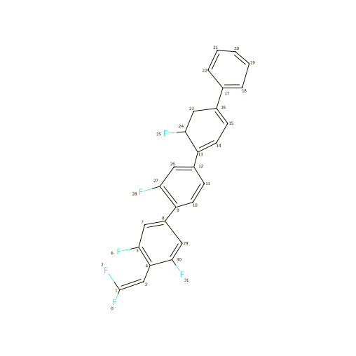 FC(F)=Cc1c(F)cc(-c2ccc(C3=CC=C(c4ccccc4)CC3F)cc2F)cc1F